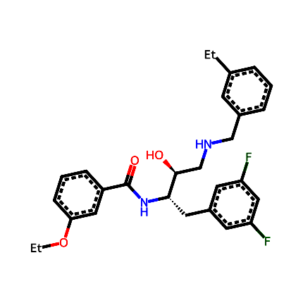 CCOc1cccc(C(=O)N[C@@H](Cc2cc(F)cc(F)c2)[C@@H](O)CNCc2cccc(CC)c2)c1